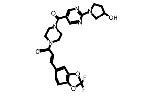 O=C(C=Cc1ccc2c(c1)OC(F)(F)O2)N1CCN(C(=O)c2cnc(N3CCC(O)C3)nc2)CC1